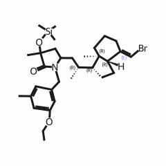 CCOc1cc(C)cc(CN2C(=O)C(C)(O[Si](C)(C)C)CC2C[C@@H](C)[C@H]2CC[C@H]3/C(=C/Br)CCC[C@]23C)c1